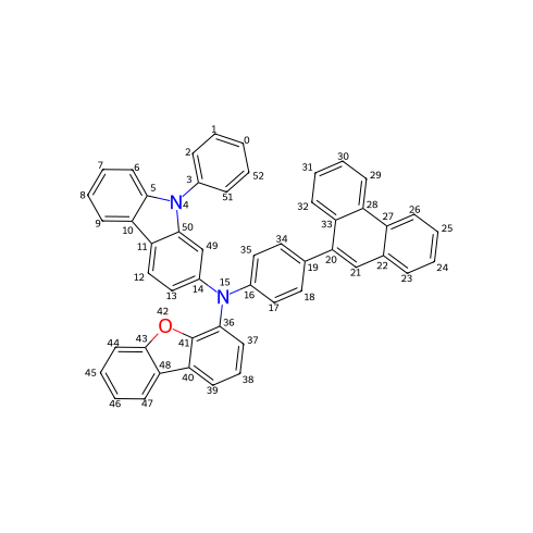 c1ccc(-n2c3ccccc3c3ccc(N(c4ccc(-c5cc6ccccc6c6ccccc56)cc4)c4cccc5c4oc4ccccc45)cc32)cc1